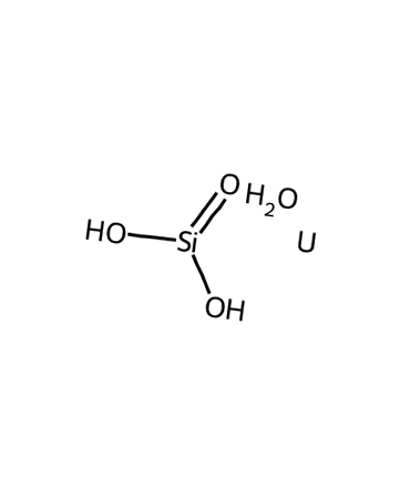 O.O=[Si](O)O.[U]